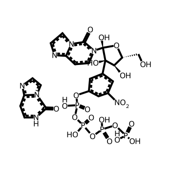 O=c1[nH]ccc2nccn12.O=c1n([C@]2(O)O[C@H](CO)[C@@H](O)[C@]2(O)c2cc(OP(=O)(O)OP(=O)(O)OP(=O)(O)OP(=O)(O)O)cc([N+](=O)[O-])c2)ccc2nccn12